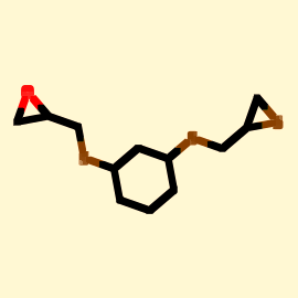 C1CC(SCC2CO2)CC(SCC2CS2)C1